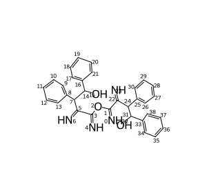 N=C(OC(=N)C(=N)C(c1ccccc1)C(O)c1ccccc1)C(=N)C(c1ccccc1)C(O)c1ccccc1